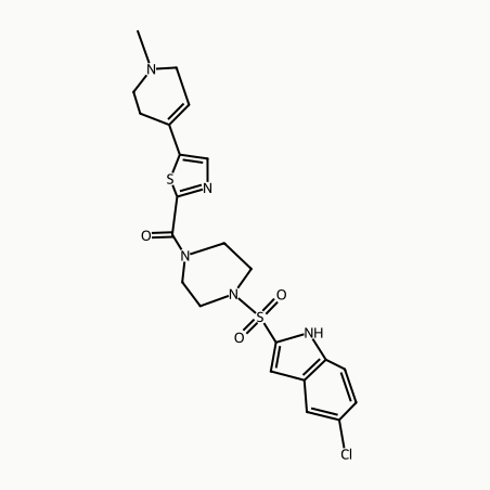 CN1CC=C(c2cnc(C(=O)N3CCN(S(=O)(=O)c4cc5cc(Cl)ccc5[nH]4)CC3)s2)CC1